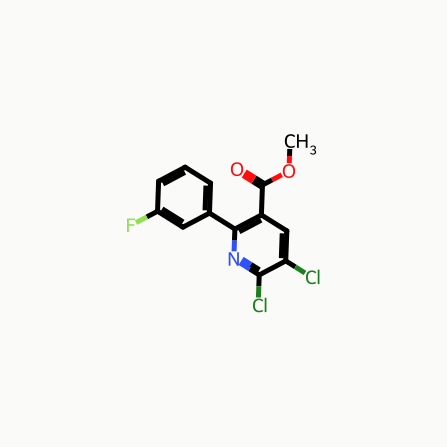 COC(=O)c1cc(Cl)c(Cl)nc1-c1cccc(F)c1